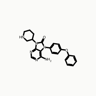 Nc1ncnc2c1n(-c1ccc(Oc3ccccc3)cc1)c(=O)n2C1CCCNC1